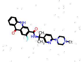 CCN1CCN(c2ccc(C(C)(C)NC(=O)c3cc4[nH]c5ccccc5c(=O)c4cc3F)cn2)CC1